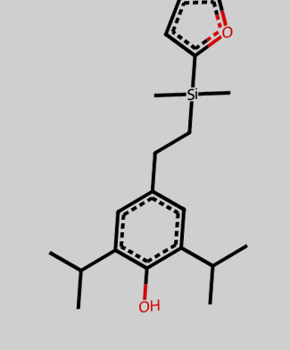 CC(C)c1cc(CC[Si](C)(C)c2ccco2)cc(C(C)C)c1O